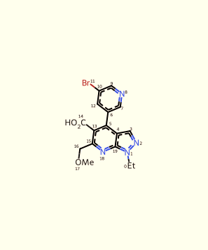 CCn1ncc2c(-c3cncc(Br)c3)c(C(=O)O)c(COC)nc21